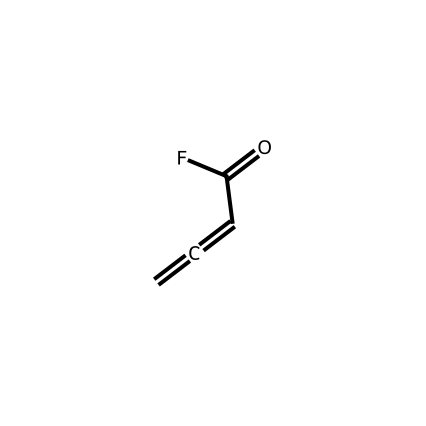 C=C=CC(=O)F